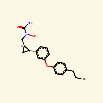 CCCc1ccc(Oc2cccc([C@@H]3C[C@H]3CN(O)C(N)=O)c2)cc1